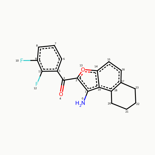 Nc1c(C(=O)c2cccc(F)c2F)oc2ccc3c(c12)CCCC3